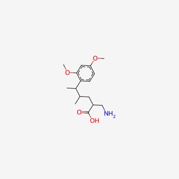 COc1ccc(C(C)C(C)CC(CN)C(=O)O)c(OC)c1